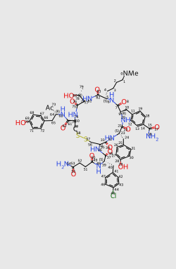 CNCCCC[C@@H]1NC(=O)[C@@H](Cc2ccc(C(N)=O)cc2)NC(=O)[C@H](Cc2ccc(O)cc2)NC(=O)[C@H](NC(=O)[C@H](Cc2ccc(Cl)cc2)NC(=O)CCC(N)=O)CSSC[C@@H](C(=O)N[C@H](Cc2ccc(O)cc2)C(C)=O)NC(=O)[C@H]([C@@H](C)O)NC1=O